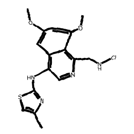 COc1cc(OC)c2c(CNCl)ncc(Nc3nc(C)cs3)c2c1